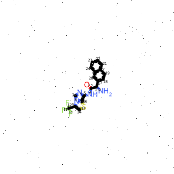 NC(C(=O)Nc1ncn2c(C(F)(F)F)csc12)c1ccc2ccccc2c1